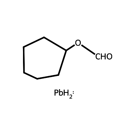 O=COC1CCCCC1.[PbH2]